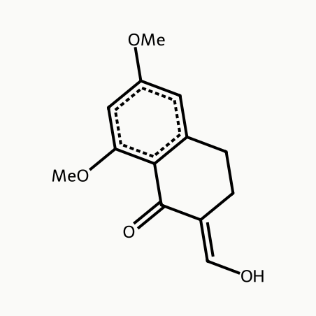 COc1cc2c(c(OC)c1)C(=O)C(=CO)CC2